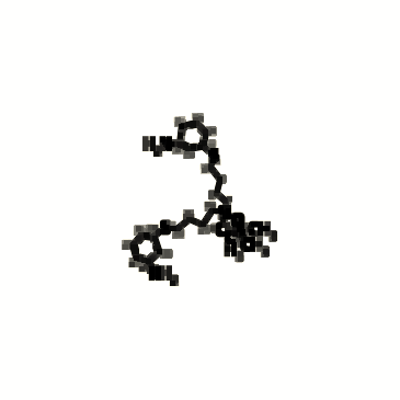 C[Si](C)(C)O[Si](C)(CCCCSc1cccc(N)c1)CCCCSc1cccc(N)c1